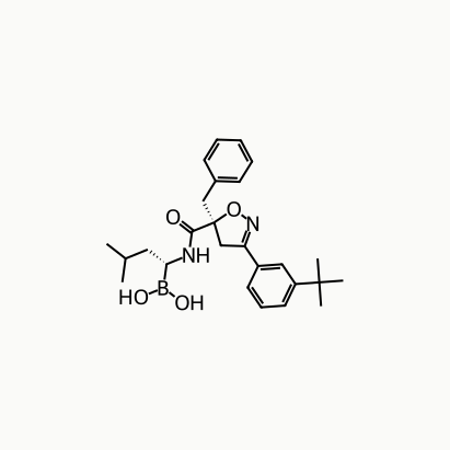 CC(C)C[C@H](NC(=O)[C@]1(Cc2ccccc2)CC(c2cccc(C(C)(C)C)c2)=NO1)B(O)O